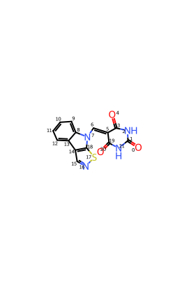 O=C1NC(=O)C(=Cn2c3ccccc3c3cnsc32)C(=O)N1